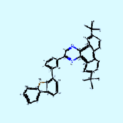 CC(C)(C)c1ccc2c3ccc(C(C)(C)C)cc3c3nc(-c4cccc(-c5cccc6c5sc5ccccc56)c4)cnc3c2c1